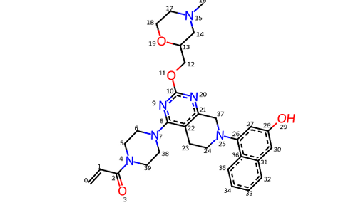 C=CC(=O)N1CCN(c2nc(OCC3CN(C)CCO3)nc3c2CCN(c2cc(O)cc4ccccc24)C3)CC1